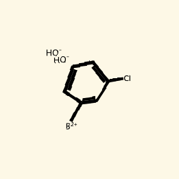 [B+2]c1cccc(Cl)c1.[OH-].[OH-]